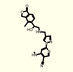 CNc1cc(-n2cc(CNCC(O)c3ccc4c(c3C)COC4=O)cn2)ncc1C#N